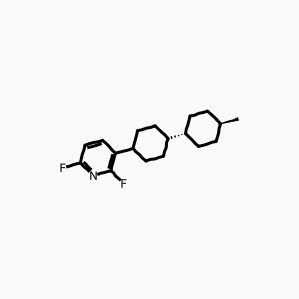 C[C@H]1CC[C@H](C2CCC(c3ccc(F)nc3F)CC2)CC1